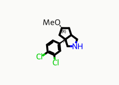 CO[C@@H]1CC2CNC[C@]2(c2ccc(Cl)c(Cl)c2)C1